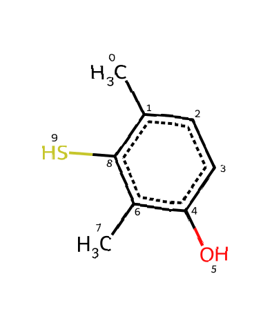 Cc1ccc(O)c(C)c1S